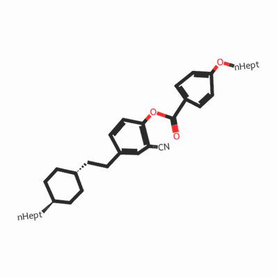 CCCCCCCOc1ccc(C(=O)Oc2ccc(CC[C@H]3CC[C@H](CCCCCCC)CC3)cc2C#N)cc1